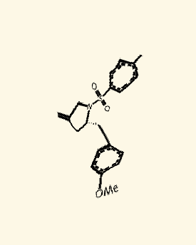 C=C1C[C@@H](Cc2ccc(OC)cc2)N(S(=O)(=O)c2ccc(C)cc2)C1